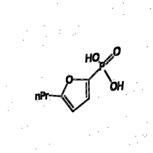 CCCc1ccc(P(=O)(O)O)o1